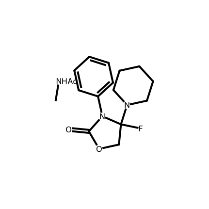 CNC(C)=O.O=C1OCC(F)(N2CCCCC2)N1c1ccccc1